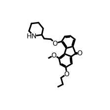 CCCOc1cc(OC)c2c(c1)C(=O)c1cccc(OCCC3CCCCN3)c1-2